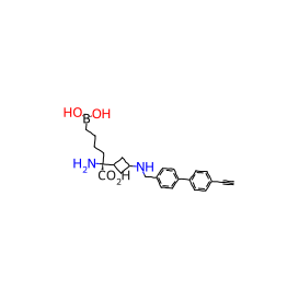 C#Cc1ccc(-c2ccc(CNC3CC([C@](N)(CCCCB(O)O)C(=O)O)C3)cc2)cc1